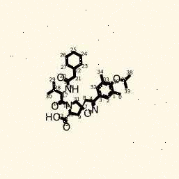 Cc1cc(C2=NO[C@]3(C2)C[C@@H](C(=O)O)N(C(=O)[C@@H](NC(=O)CC2CCCCC2)C(C)C)C3)cc(C)c1OC(C)C